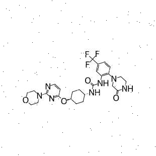 O=C1CN(c2ccc(C(F)(F)F)cc2NC(=O)N[C@H]2CC[C@H](Oc3ccnc(N4CCOCC4)n3)CC2)CCN1